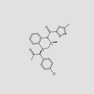 CC(=O)N(c1ccc(Cl)cc1)[C@@H]1C[C@H](C)N(C(=O)c2cc(C)no2)c2ccccc21